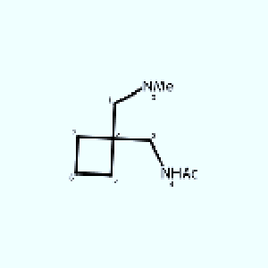 CNCC1(CNC(C)=O)CCC1